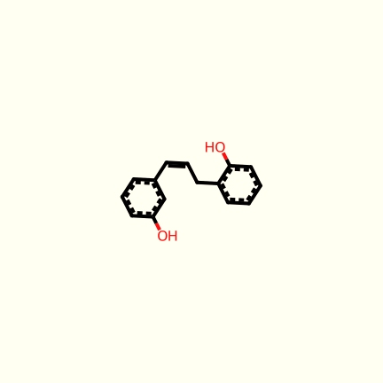 Oc1cccc(/C=C\Cc2ccccc2O)c1